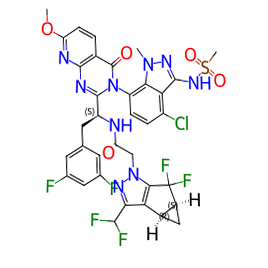 COc1ccc2c(=O)n(-c3ccc(Cl)c4c(NS(C)(=O)=O)nn(C)c34)c([C@H](Cc3cc(F)cc(F)c3)NC(=O)Cn3nc(C(F)F)c4c3C(F)(F)[C@H]3C[C@@H]43)nc2n1